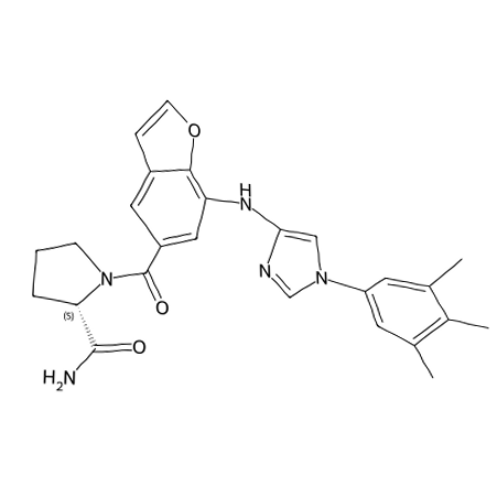 Cc1cc(-n2cnc(Nc3cc(C(=O)N4CCC[C@H]4C(N)=O)cc4ccoc34)c2)cc(C)c1C